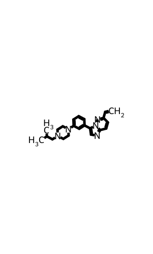 C=Cc1ccc2ncc(-c3cccc(N4CCN(CC(C)C)CC4)c3)n2n1